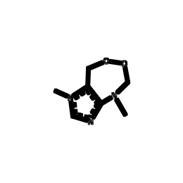 CN1COOCc2c1ncn2C